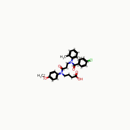 COc1ccc(N(CCCC(=O)O)C(=O)CCN(C(=O)c2ccc(Cl)cc2)c2c(C)cccc2C)cc1